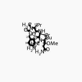 CC[C@H](C)[C@@H]([C@@H](CC(N)=O)OC)N(C)C(=O)[C@@H](NC(=O)[C@H](C(C)C)N(C)C(=O)OCc1ccc(N)cc1)C(C)C